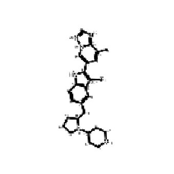 Cc1cc(-c2[nH]c3ccc(CC4CCCN4C4CCOCC4)cc3c2C(C)C)cn2ncnc12